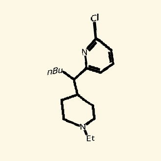 CCCCC(c1cccc(Cl)n1)C1CCN(CC)CC1